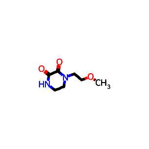 COCCN1CCNC(=O)C1=O